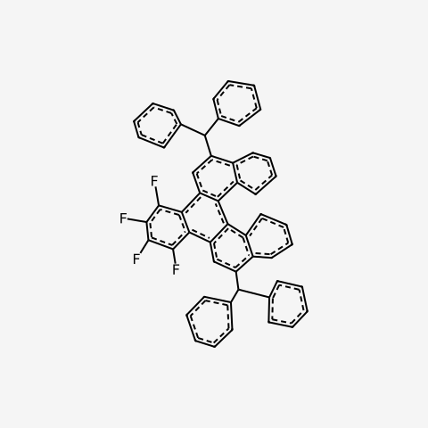 Fc1c(F)c(F)c2c3cc(C(c4ccccc4)c4ccccc4)c4ccccc4c3c3c4ccccc4c(C(c4ccccc4)c4ccccc4)cc3c2c1F